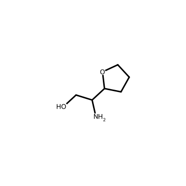 NC(CO)C1CCCO1